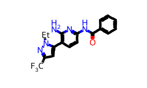 CCn1nc(C(F)(F)F)cc1-c1ccc(NC(=O)c2ccccc2)nc1N